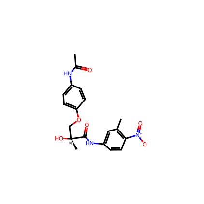 CC(=O)Nc1ccc(OC[C@@](C)(O)C(=O)Nc2ccc([N+](=O)[O-])c(C)c2)cc1